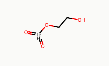 O=[TeH](=O)OCCO